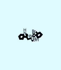 O=S(=O)(N[C@@H](CO)Cc1c[nH]c2ccccc12)c1ccccc1Br